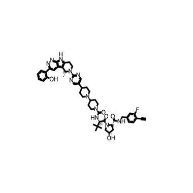 C#Cc1ccc(CNC(=O)[C@@H]2C[C@@H](O)CN2C(=O)[C@@H](NC(=O)N2CCC(N3CCC(c4cnc(N5CCc6[nH]c7nnc(-c8ccccc8O)cc7c6[C@H]5C)nc4)CC3)CC2)C(C)(C)C)cc1F